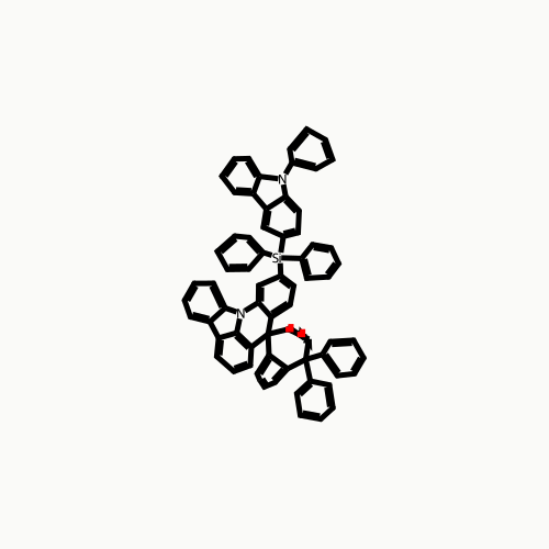 c1ccc(-n2c3ccccc3c3cc([Si](c4ccccc4)(c4ccccc4)c4ccc5c(c4)-n4c6ccccc6c6cccc(c64)C54c5ccccc5C(c5ccccc5)(c5ccccc5)c5ccccc54)ccc32)cc1